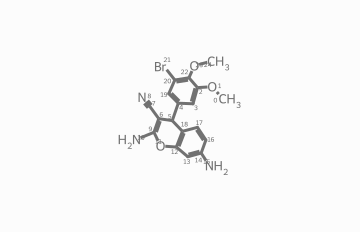 COc1cc(C2C(C#N)=C(N)Oc3cc(N)ccc32)cc(Br)c1OC